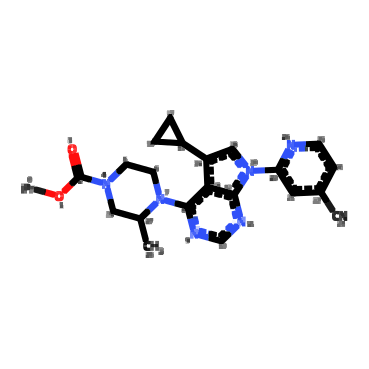 CC(C)OC(=O)N1CCN(c2ncnc3c2c(C2CC2)cn3-c2cc(C#N)ccn2)C(C)C1